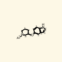 CC(=O)N1CCCC(Oc2ccc3[nH]ncc3c2)C1